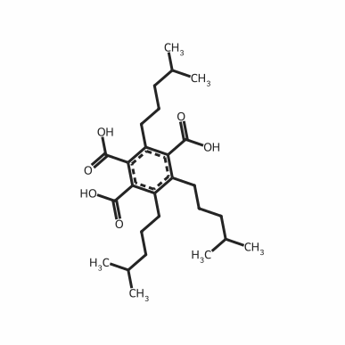 CC(C)CCCc1c(CCCC(C)C)c(C(=O)O)c(C(=O)O)c(CCCC(C)C)c1C(=O)O